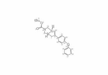 CC(C)(C)OC(=O)N1C[C@H]2CC(c3ccc(Oc4ccccc4)cc3)=C[C@H]2C1